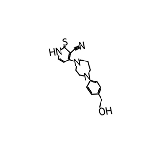 N#Cc1c(N2CCCN(c3ccc(CCO)cc3)CC2)cc[nH]c1=S